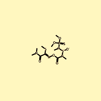 COP(=S)(OC)N(C)[S+]([O-])N(C)C(=O)ON=C(SC)C(=O)N(C)C